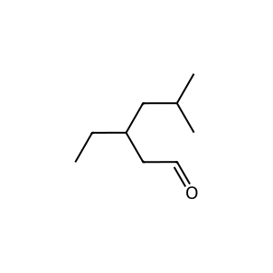 CCC(CC=O)CC(C)C